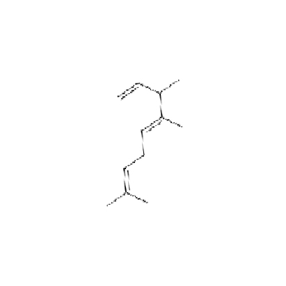 C=CC(C)C(C)=CCC=C(C)C